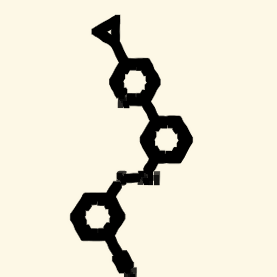 N#Cc1cccc(SNc2cccc(-c3ccc(C4CC4)cn3)c2)c1